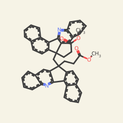 COC(=O)CCC1(CC2(CCC(=O)OC)c3cc4ccccc4nc3-c3c2ccc2ccccc32)c2cc3ccccc3nc2-c2c1ccc1ccccc21